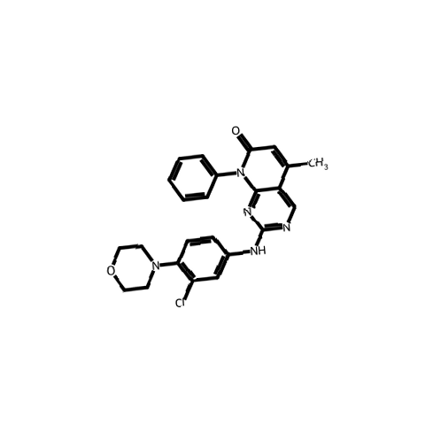 Cc1cc(=O)n(-c2ccccc2)c2nc(Nc3ccc(N4CCOCC4)c(Cl)c3)ncc12